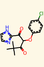 CC(C)(C)C(=O)C(Oc1ccc(Cl)cc1)C(=O)c1ncc[nH]1